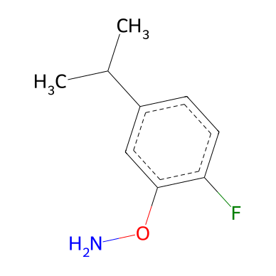 CC(C)c1ccc(F)c(ON)c1